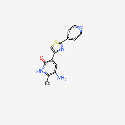 CCc1[nH]c(=O)c(-c2csc(-c3ccncc3)n2)cc1N